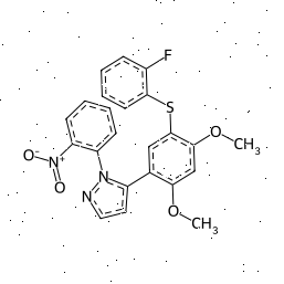 COc1cc(OC)c(-c2ccnn2-c2ccccc2[N+](=O)[O-])cc1Sc1ccccc1F